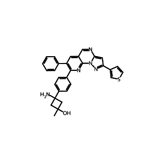 CC1(O)CC(N)(c2ccc(-c3nc4c(cnc5cc(-c6ccsc6)nn54)cc3-c3ccccc3)cc2)C1